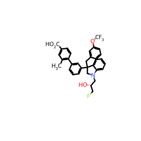 Cc1cc(C(=O)O)ccc1-c1cccc(C2(Cc3cccc(OC(F)(F)F)c3)CN(C[C@@H](O)CF)c3ccccc32)c1